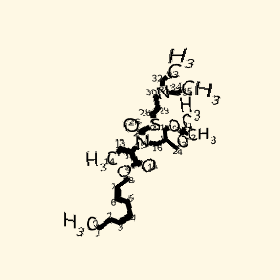 CCC/C=C\C/C=C\COC(=O)C(CC)N(CC1COC(C)(C)OC1)C(=O)SCCCN(CC)CC